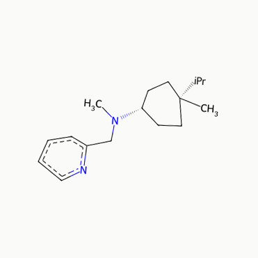 CC(C)[C@]1(C)CC[C@H](N(C)Cc2ccccn2)CC1